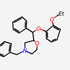 CCOc1ccccc1OC(c1ccccc1)C1CN(Cc2ccccc2)CCO1